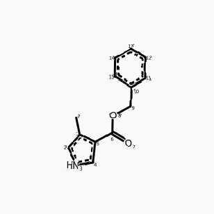 Cc1c[nH]cc1C(=O)OCc1ccccc1